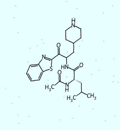 CC(=O)N[C@@H](CC(C)C)C(=O)NC(CC1CCNCC1)C(=O)c1nc2ccccc2s1